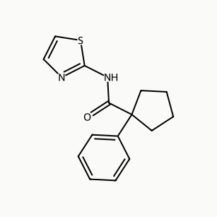 O=C(Nc1nccs1)C1(c2ccccc2)CCCC1